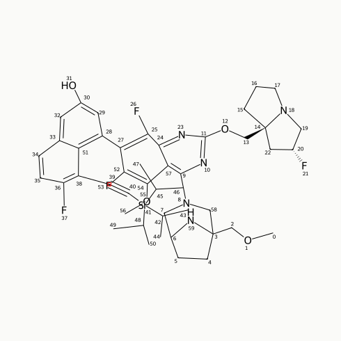 COCC12CCC(CN(c3nc(OC[C@@]45CCCN4C[C@H](F)C5)nc4c(F)c(-c5cc(O)cc6ccc(F)c(C#C[Si](C(C)C)(C(C)C)C(C)C)c56)c(F)c(OC)c34)C1)N2